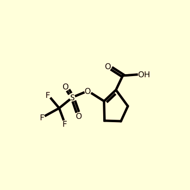 O=C(O)C1=C(OS(=O)(=O)C(F)(F)F)CCC1